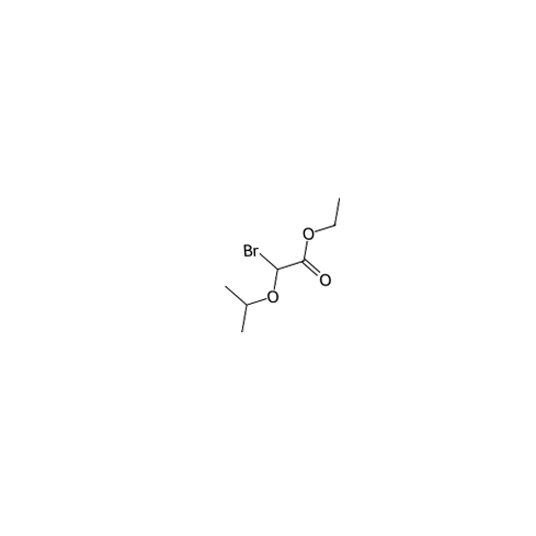 CCOC(=O)C(Br)OC(C)C